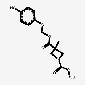 CC(C)(C)OC(=O)N1CC(C)(C(=O)OCOc2ccc(C#N)cc2)C1